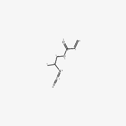 C=CC(=O)OCC(C)N=C=O